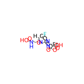 CC[C@@]1(O)C(=O)OCc2c1cc1n(c2=O)Cc2c-1nc1cc(F)c(C)cc1c2C=NOCCCNC(=O)CO